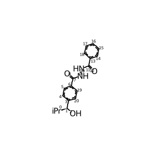 CC(C)[C@H](O)c1ccc(C(=O)NNC(=O)c2ccccc2)cc1